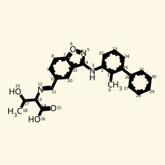 Cc1c(Nc2noc3ccc(C=NC(C(=O)O)C(C)O)cc23)cccc1-c1ccccc1